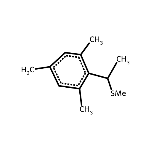 CSC(C)c1c(C)cc(C)cc1C